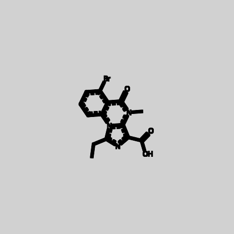 CCc1nc(C(=O)O)c2n(C)c(=O)c3c(Br)cccc3n12